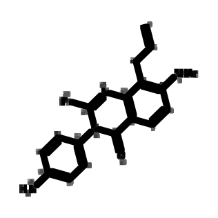 C=CCc1c(NC(C)=O)ccc2c(=O)n(-c3ccc(N)cc3)c(C(C)C)nc12